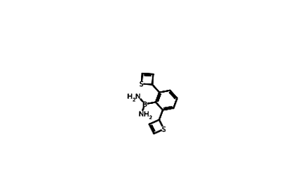 NB(N)c1c(C2C=CS2)cccc1C1C=CS1